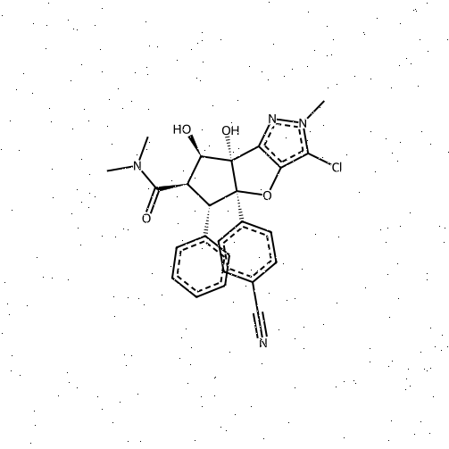 CN(C)C(=O)[C@H]1[C@@H](O)[C@@]2(O)c3nn(C)c(Cl)c3O[C@@]2(c2ccc(C#N)cc2)[C@@H]1c1ccccc1